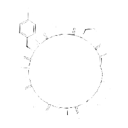 CCC(C)[C@@H]1NC(=O)CN(C)C(=O)[C@@H](Cc2ccc(C)cc2)N(C)C(=O)[C@H](C)NC(=O)[C@@H](CC(C)C)OC(=O)/C(C)=C/C[C@H](O)[C@H](C)[C@@H]([C@@H](C)CC)OC(=O)[C@@H](C)NC1=O